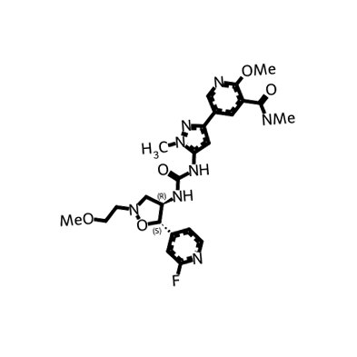 CNC(=O)c1cc(-c2cc(NC(=O)N[C@@H]3CN(CCOC)O[C@H]3c3ccnc(F)c3)n(C)n2)cnc1OC